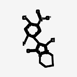 O=c1c(-c2cc([N+](=O)[O-])c(Cl)cc2F)c(Cl)n2n1CCCC2